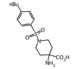 CCCCc1ccc(S(=O)(=O)N2CCC(N)(C(=O)O)CC2)cc1